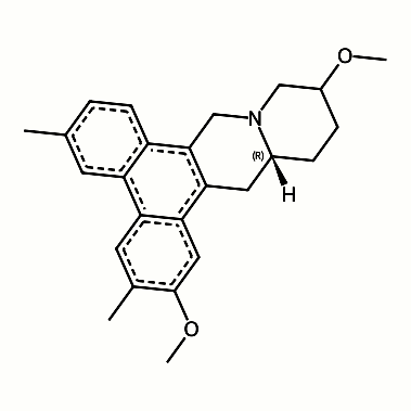 COc1cc2c3c(c4ccc(C)cc4c2cc1C)CN1CC(OC)CC[C@@H]1C3